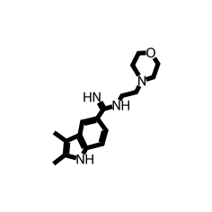 Cc1[nH]c2ccc(C(=N)NCCN3CCOCC3)cc2c1C